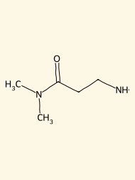 CN(C)C(=O)CC[NH]